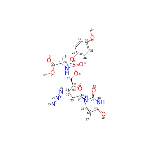 COC(=O)[C@H](C)NP(=O)(OC[C@H]1O[C@@H](n2cc(C)c(=O)[nH]c2=O)C[C@@H]1N=[N+]=[N-])Oc1ccc(OC)cc1